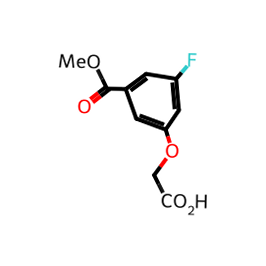 COC(=O)c1cc(F)cc(OCC(=O)O)c1